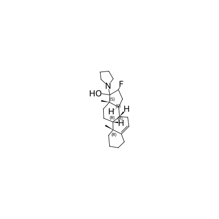 C[C@]12CCCCC1=CC[C@@H]1[C@H]2CC[C@@]2(C)[C@H]1CC(F)C2(O)N1CCCC1